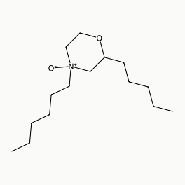 CCCCCC[N+]1([O-])CCOC(CCCCC)C1